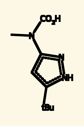 CN(C(=O)O)c1cc(C(C)(C)C)[nH]n1